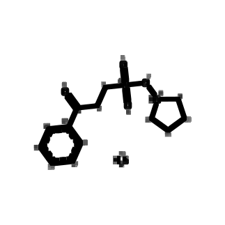 O=C(CCS(=O)(=O)O[SH]1CCCC1)c1ccccc1.S